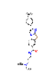 CCCCN(CCCC)CCCNC(=O)c1ccc2c(c1)sc1nc(-c3ccc(OC)cc3)cn12